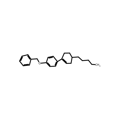 CCCCCC1CC=C(c2ccc(OCc3ccccc3)cc2)CC1